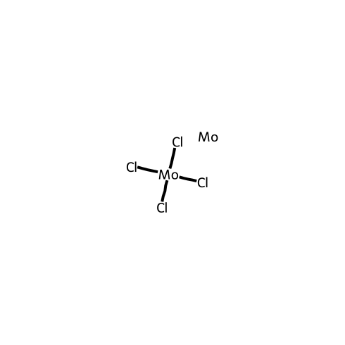 [Cl][Mo]([Cl])([Cl])[Cl].[Mo]